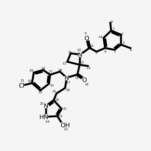 Cc1cc(C)cc(CC(=O)N2CCC2(C)C(=O)N(CCc2cc(O)[nH]n2)Cc2ccc(Cl)cc2)c1